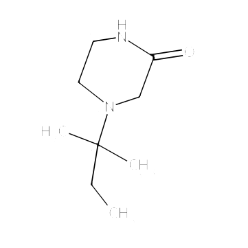 CCC(C)(C)N1CCNC(=O)C1